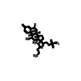 CCOC(=O)O[C@]1(C(=O)COS(C)(=O)=O)CC[C@H]2[C@@H]3C[C@H](F)C4=CC(=O)C=C[C@]4(C)[C@H]3C(O)C[C@@]21C